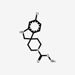 CC(C)(C)OC(=O)N1CCC2(CC1)CNc1cc(Cl)ccc12